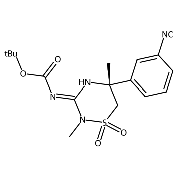 [C-]#[N+]c1cccc([C@]2(C)CS(=O)(=O)N(C)/C(=N/C(=O)OC(C)(C)C)N2)c1